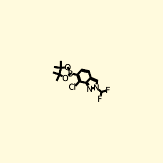 CC1(C)OB(c2ccc3cn(C(F)F)nc3c2Cl)OC1(C)C